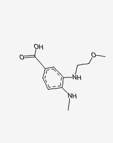 CNc1ccc(C(=O)O)cc1NCCOC